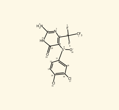 Nc1nc(C(F)(F)C(F)(F)F)c([S+]([O-])c2ccc(Cl)c(Cl)c2)c(=O)[nH]1